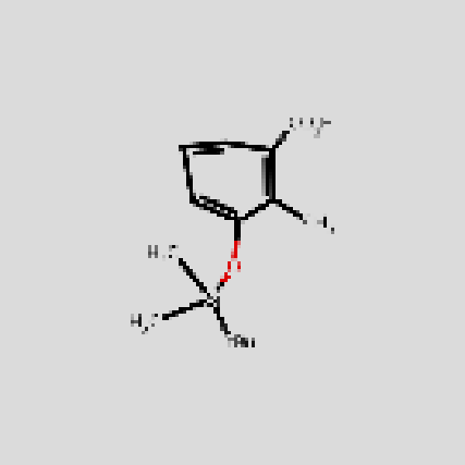 Cc1c(O[Si](C)(C)C(C)(C)C)cccc1C(=O)O